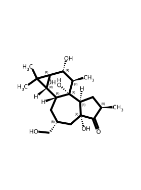 C[C@@H]1C[C@@H]2[C@]3(O)[C@H](C)[C@@H](O)[C@@]4(O)[C@H]([C@H]3C[C@@H](CO)C[C@]2(O)C1=O)C4(C)C